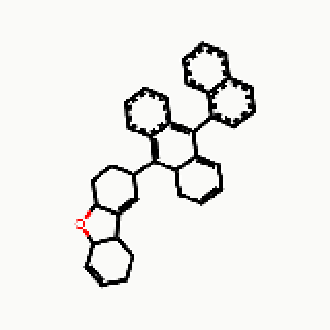 C1=CCC2C(=C1)C(c1cccc3ccccc13)=c1ccccc1=C2C1C=C2C(CC1)OC1C=CCCC21